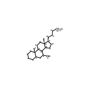 C[C@]12CCCCC1CC(O)C1C2CC[C@@]2(C)C1CC[C@@H]2CCCC(=O)O